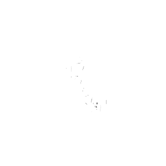 CN(C)c1ccc(/C=C/C=C/C(=O)c2ccc(Cl)cc2Cl)cc1